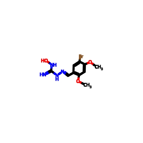 COc1cc(OC)c(C=NNC(=N)NO)cc1Br